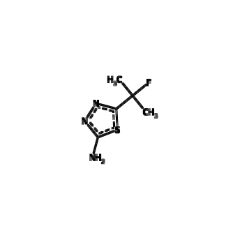 CC(C)(F)c1nnc(N)s1